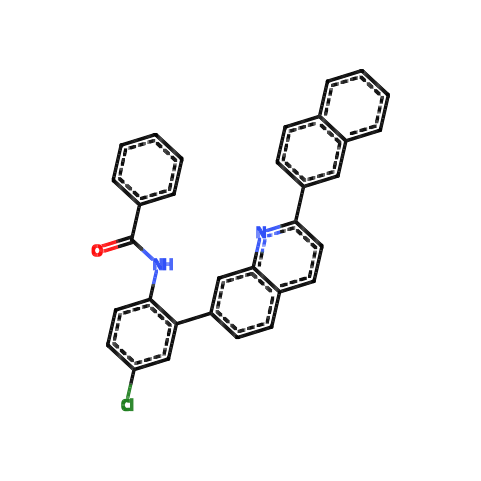 O=C(Nc1ccc(Cl)cc1-c1ccc2ccc(-c3ccc4ccccc4c3)nc2c1)c1ccccc1